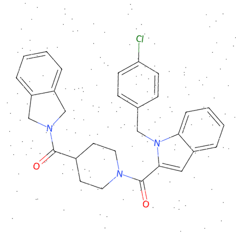 O=C(c1cc2ccccc2n1Cc1ccc(Cl)cc1)N1CCC(C(=O)N2Cc3ccccc3C2)CC1